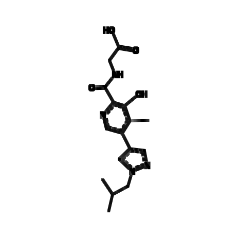 Cc1c(-c2cnn(CC(C)C)c2)cnc(C(=O)NCC(=O)O)c1O